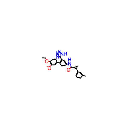 CCOc1ccc(-c2ccc(NC(=O)C3CC3c3cccc(C)c3)cc2-c2nnn[nH]2)cc1OC